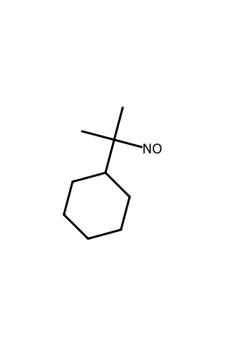 CC(C)(N=O)C1CCCCC1